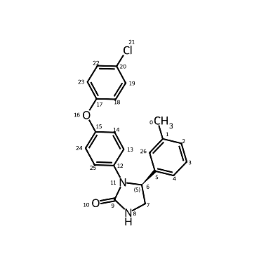 Cc1cccc([C@H]2CNC(=O)N2c2ccc(Oc3ccc(Cl)cc3)cc2)c1